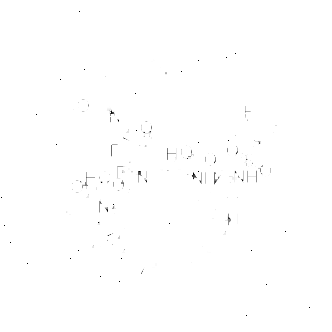 CCOc1cc2ccccc2c(O[C@]2(C)C[C@H]3C(=O)N[C@]4(C(=O)NS(=O)(=O)C5(CF)CC5)C[C@H]4/C=C\CC[C@@H](C)C[C@@H](C)[C@H](N(C(=O)O)C(C)CC)C(=O)N3C2(F)F)n1